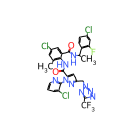 Cc1cc(Cl)cc(C(=O)NC(C)c2ccc(Cl)cc2F)c1NC(=O)c1cc(Cn2nnc(C(F)(F)F)n2)nn1-c1ncccc1Cl